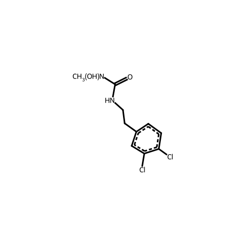 CN(O)C(=O)NCCc1ccc(Cl)c(Cl)c1